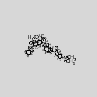 CCN(CC)c1ccc2cc(-c3nc4cc(C[C@@]5(C)CCN6CC[C@H](C)c7c6c5cc5cc(-c6nc8ccccc8s6)c(=O)oc75)ccc4s3)c(=O)oc2c1